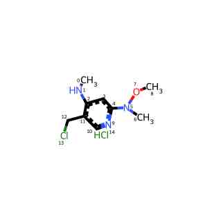 CNc1cc(N(C)OC)ncc1CCl.Cl